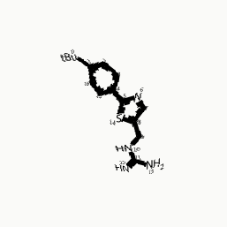 CC(C)(C)c1ccc(-c2ncc(CNC(=N)N)s2)cc1